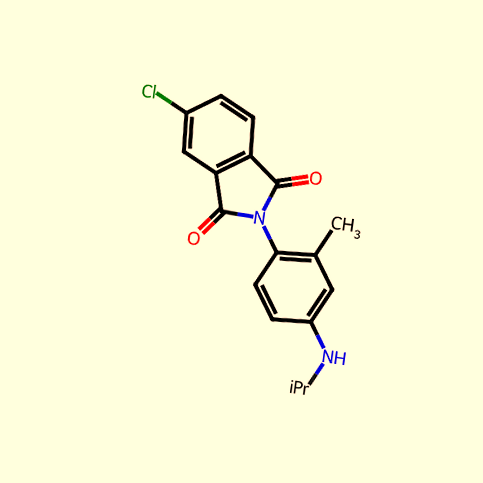 Cc1cc(NC(C)C)ccc1N1C(=O)c2ccc(Cl)cc2C1=O